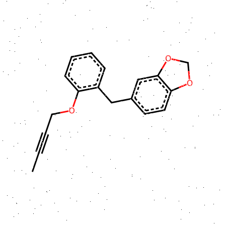 CC#CCOc1ccccc1Cc1ccc2c(c1)OCO2